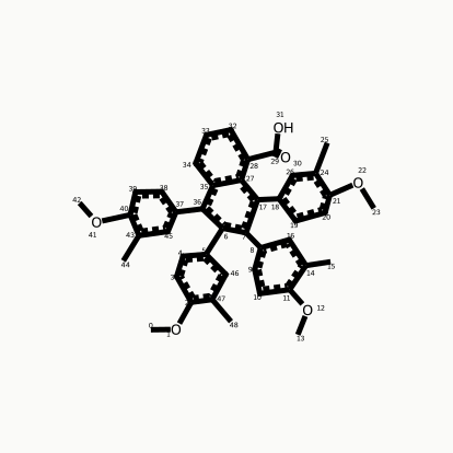 COc1ccc(-c2c(-c3ccc(OC)c(C)c3)c(-c3ccc(OC)c(C)c3)c3c(C(=O)O)cccc3c2-c2ccc(OC)c(C)c2)cc1C